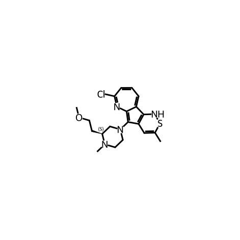 COCC[C@H]1CN(c2c3nc(Cl)cccc-3c3c2C=C(C)SN3)CCN1C